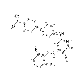 CCC(=O)N1CCN(c2ccc(Nc3cc(NCc4c(F)cccc4F)c(C(C)=O)nn3)cc2)CC1